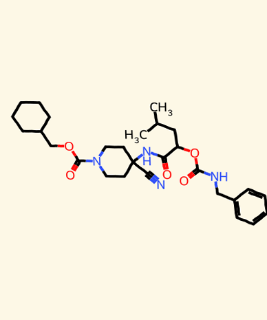 CC(C)CC(OC(=O)NCc1ccccc1)C(=O)NC1(C#N)CCN(C(=O)OCC2CCCCC2)CC1